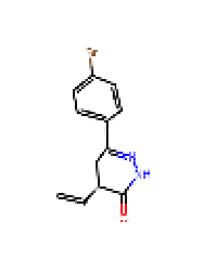 C=C[C@H]1CC(c2ccc(Br)cc2)=NNC1=O